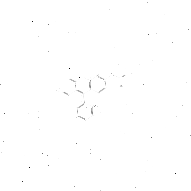 O=Cc1c(-c2ccccc2)c2ccc(N[SH](=O)=O)cc2oc1=O